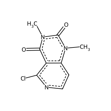 Cn1c(=O)c2c(Cl)nccc2n(C)c1=O